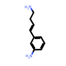 NCCC=Cc1cccc(N)c1